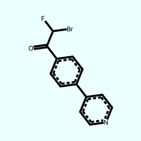 O=C(c1ccc(-c2ccncc2)cc1)C(F)Br